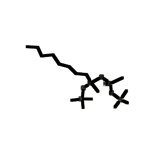 CCCCCCCC[Si](C)(O[SiH](C)O[Si](C)(C)C)O[Si](C)(C)C